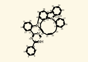 C=N/C(=N\C(=N)c1ccccc1)c1ccccc1N1/C2=C/C=C\Cc3ccccc3-n3c4ccccc4c4ccc1c(c43)C2